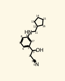 N#CCC(O)c1cccc(NCC2CCCC2)c1